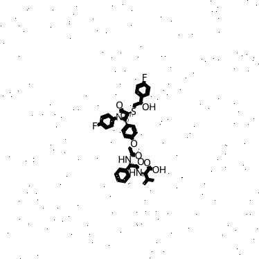 CC(C)[C@@H](NC(=O)[C@@H](NC(=O)COc1ccc([C@@H]2[C@H](SCC(O)c3ccc(F)cc3)C(=O)N2c2ccc(F)cc2)cc1)c1ccccc1)C(=O)O